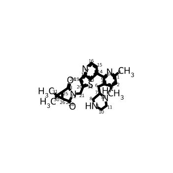 Cc1cc(C)c(CC2CNCCN2)c(-c2ccnc3cc(CN4C(=O)C5C(C4=O)C5(C)C)sc23)n1